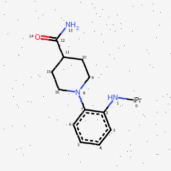 CC(C)Nc1ccccc1N1CCC(C(N)=O)CC1